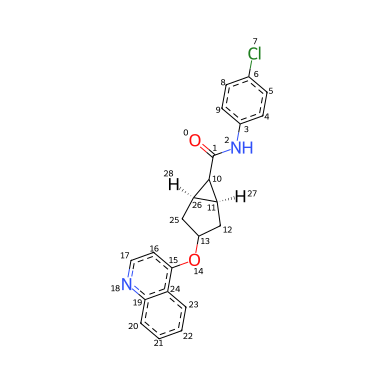 O=C(Nc1ccc(Cl)cc1)C1[C@H]2CC(Oc3ccnc4ccccc34)C[C@@H]12